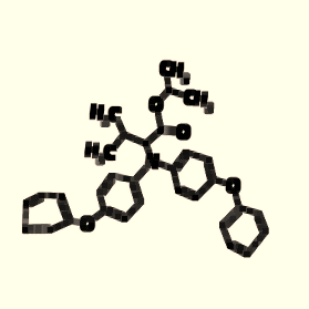 CC(C)OC(=O)C(C(C)C)N(c1ccc(Oc2ccccc2)cc1)c1ccc(Oc2ccccc2)cc1